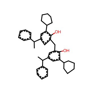 CC(c1ccccc1)c1cc(Cc2cc(C(C)c3ccccc3)cc(C3CCCCC3)c2O)c(O)c(C2CCCCC2)c1